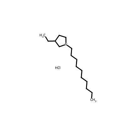 CCCCCCCCCCN1CCC(CC)C1.Cl